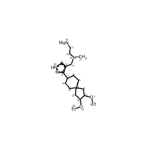 CCOC1CC2(CCC(c3n[nH]cc3CN(C)CCNC)CC2)CC1OCC